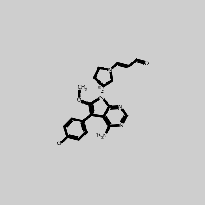 COc1c(-c2ccc(Cl)cc2)c2c(N)ncnc2n1[C@@H]1CCN(C=CC=O)C1